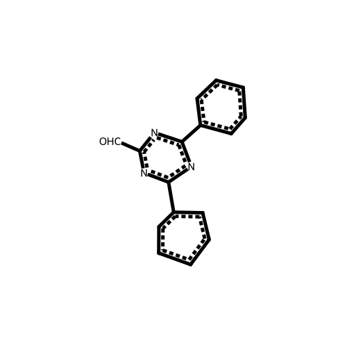 O=Cc1nc(-c2ccccc2)nc(-c2ccccc2)n1